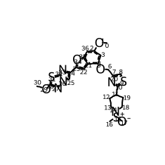 COc1cc(OCc2csc(C3CCN([S+](C)[O-])CC3)n2)c2cc(-c3cn4nc(OC)sc4n3)oc2c1